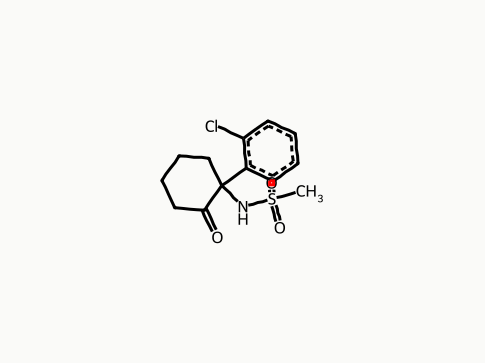 CS(=O)(=O)NC1(c2ccccc2Cl)CCCCC1=O